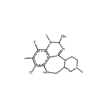 Cc1c(F)c2c3c(c1Cl)NCC1CN(C)CCN1C3=NC(O)N2I